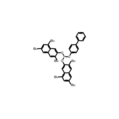 CCC(C)c1cc(C(C)CC)c2cc(OP(Oc3ccc(-c4ccccc4)cc3)Oc3cc4c(C(C)CC)cc(C(C)CC)cc4cc3C(C)CC)c(C(C)CC)cc2c1